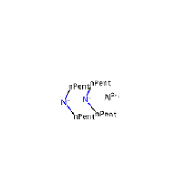 CCCCC[N-]CCCCC.CCCCC[N-]CCCCC.[Al+2]